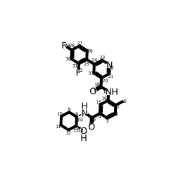 Cc1ccc(C(=O)N[C@H]2CCCC[C@@H]2O)cc1NC(=O)c1cncc(-c2ccc(F)cc2F)c1